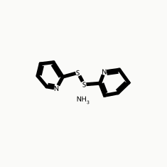 N.c1ccc(SSc2ccccn2)nc1